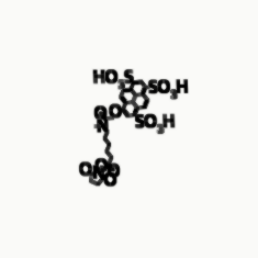 CN(CCCCCC(=O)ON1C(=O)CCC1=O)C(=O)COC1=CC(S(=O)(=O)O)=C2C=CC3=C(S(=O)(=O)O)C=C(S(=O)(=O)O)C4=CC=C1C2C43